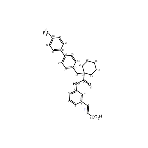 O=C(O)/C=C/c1cccc(NC(=O)C2(Cc3ccc(-c4ccc(C(F)(F)F)cc4)cc3)CCCCC2)c1